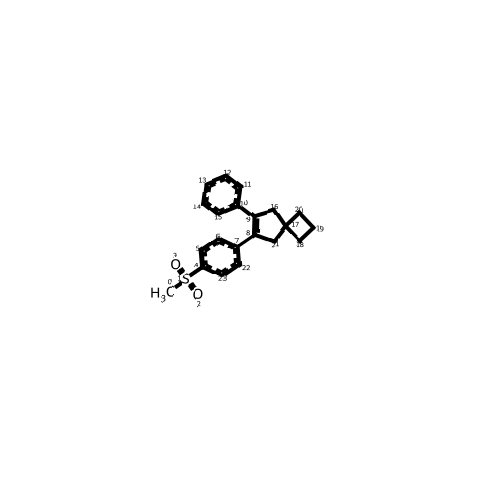 CS(=O)(=O)c1ccc(C2=C(c3ccccc3)CC3(CCC3)C2)cc1